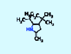 C=C1CC(C(C)(C)C)=C(C(C)C)N1